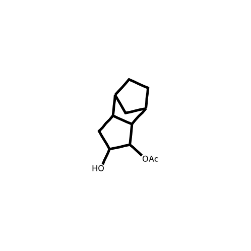 CC(=O)OC1C(O)CC2C3CCC(C3)C21